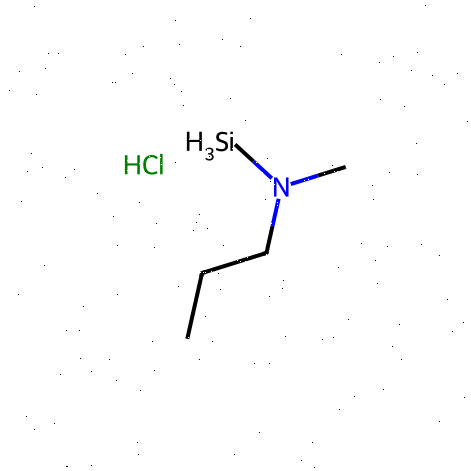 CCCN(C)[SiH3].Cl